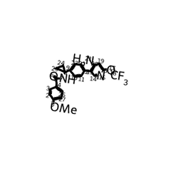 COc1ccc(C(=O)NC2(c3ccc(-c4cnc(OC(F)(F)F)cc4N)cc3)CC2)cc1